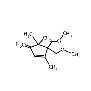 C=C1C=C(C)C(COC)(COC)C1(C)C